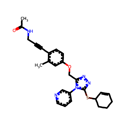 CC(=O)NCC#Cc1ccc(OCc2nnc(SC3C=CCCC3)n2-c2cccnc2)cc1C